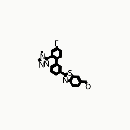 Cn1cnnc1-c1cc(F)ccc1-c1cccc(-c2nc3ccc(C=O)cc3s2)c1